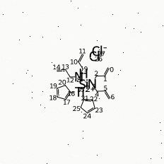 C=CCN(CC=C)[SiH](N(CC=C)CC=C)[Ti+2]([C]1=CC=CC1)[C]1=CC=CC1.[Cl-].[Cl-]